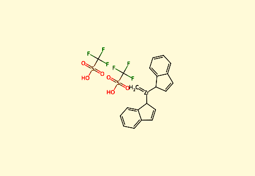 O=S(=O)(O)C(F)(F)F.O=S(=O)(O)C(F)(F)F.[CH2]=[Zr]([CH]1C=Cc2ccccc21)[CH]1C=Cc2ccccc21